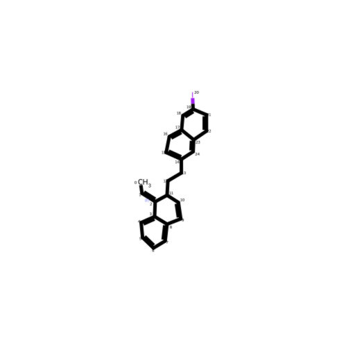 C/C=C1/c2ccccc2C=CC1CCc1ccc2cc(I)ccc2c1